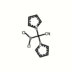 N#CC(B(Cl)Cl)(n1cccc1)n1cccc1